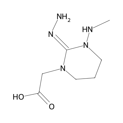 CNN1CCCN(CC(=O)O)/C1=N/N